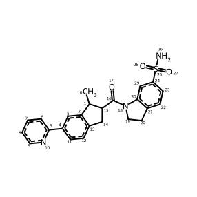 CC1c2cc(-c3ccccn3)ccc2CC1C(=O)N1CCc2ccc(S(N)(=O)=O)cc21